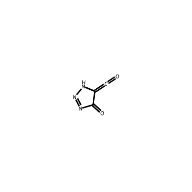 O=C=C1NN=NC1=O